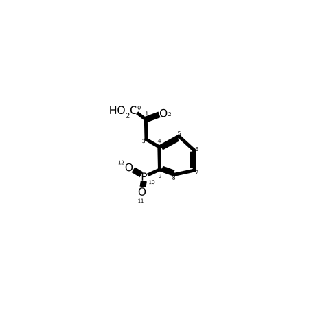 O=C(O)C(=O)Cc1ccccc1P(=O)=O